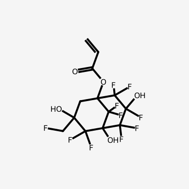 C=CC(=O)OC12CC(O)(CF)C(F)(F)C(O)(C(F)(F)C(O)(F)C1(F)F)C2(F)F